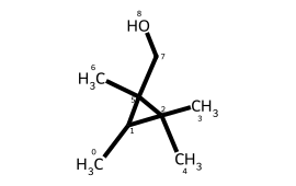 CC1C(C)(C)C1(C)CO